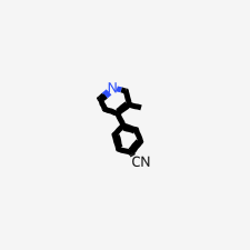 CC1=C(c2ccc(C#N)cc2)CC=NC1